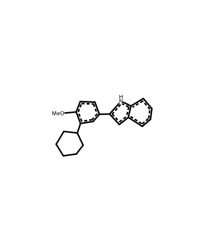 COc1ccc(-c2cc3ccccc3[nH]2)cc1C1CCCCC1